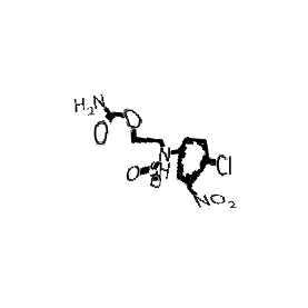 NC(=O)OCCN(c1ccc(Cl)c([N+](=O)[O-])c1)[SH](=O)=O